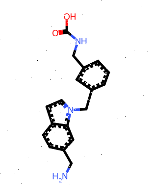 NCc1ccc2ccn(Cc3cccc(CNC(=O)O)c3)c2c1